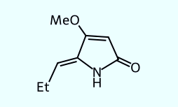 CC/C=C1\NC(=O)C=C1OC